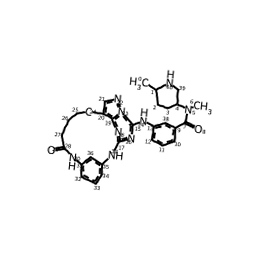 CC1CCC(N(C)C(=O)c2cccc(Nc3nc4nc5c(cnn35)CCCCC(=O)Nc3cccc(c3)N4)c2)CN1